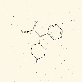 COC(=O)N(c1ccccc1)C1CCNCC1